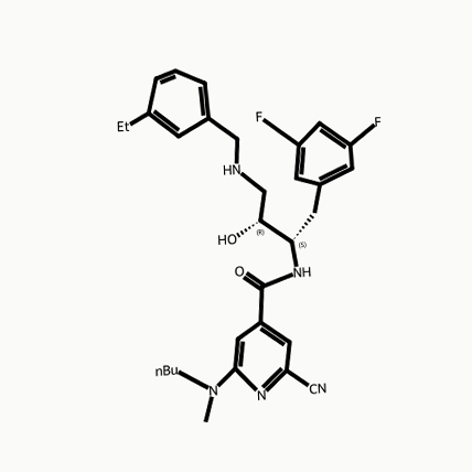 CCCCN(C)c1cc(C(=O)N[C@@H](Cc2cc(F)cc(F)c2)[C@H](O)CNCc2cccc(CC)c2)cc(C#N)n1